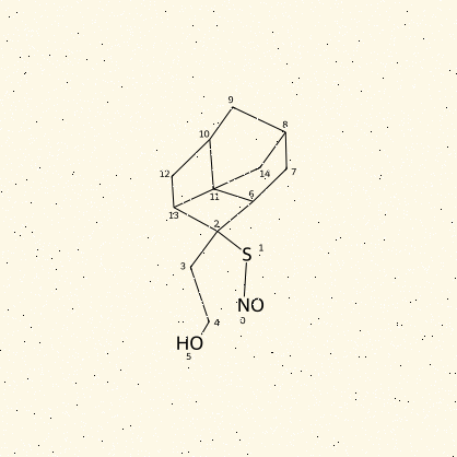 O=NSC1(CCO)C2CC3CC(C2)CC1C3